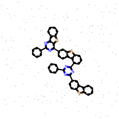 c1ccc(-c2nc(-c3ccc4sc5ccccc5c4c3)nc(-c3cccc4sc5cc(-c6nc(-c7ccccc7)nc7c6sc6ccccc67)ccc5c34)n2)cc1